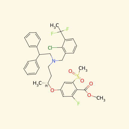 COC(=O)c1c(F)cc(O[C@H](C)CCN(Cc2cccc(C(C)(F)F)c2Cl)CC(c2ccccc2)c2ccccc2)cc1S(C)(=O)=O